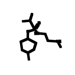 CNCCNP(=O)(OC1CCN(C)CC1)C(C)C